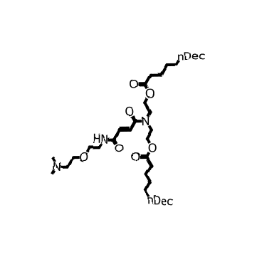 CCCCCCCCCCCCCCC(=O)OCCN(CCOC(=O)CCCCCCCCCCCCCC)C(=O)C=CC(=O)NCCOCCN(C)C